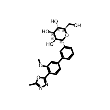 COc1cc(-c2cccc([C@H]3O[C@H](CO)[C@@H](O)[C@H](O)[C@@H]3O)c2)ccc1-c1nnc(C)o1